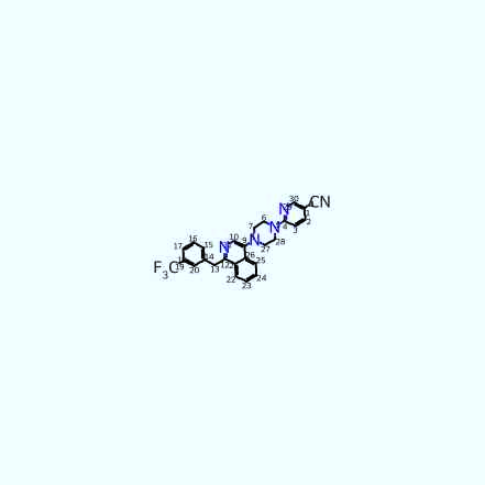 N#Cc1ccc(N2CCN(c3cnc(Cc4cccc(C(F)(F)F)c4)c4ccccc34)CC2)nc1